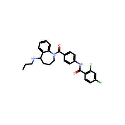 CCCNC1CCCN(C(=O)c2ccc(NC(=O)c3ccc(Cl)cc3Cl)cc2)c2ccccc21